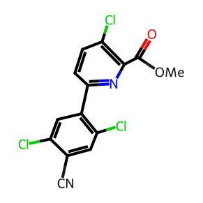 COC(=O)c1nc(-c2cc(Cl)c(C#N)cc2Cl)ccc1Cl